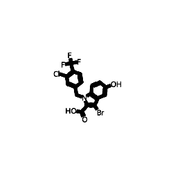 O=C(O)c1c(Br)c2cc(O)ccc2n1Cc1ccc(C(F)(F)F)c(Cl)c1